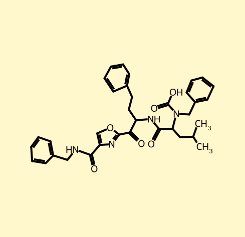 CC(C)CC(C(=O)NC(CCc1ccccc1)C(=O)c1nc(C(=O)NCc2ccccc2)co1)N(Cc1ccccc1)C(=O)O